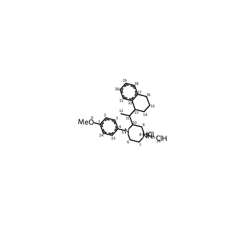 COc1ccc(N2CCNCC2C(C)C2CCCc3ccccc32)cc1.Cl.Cl